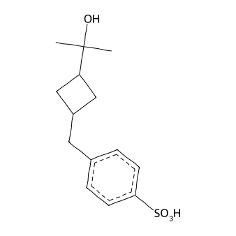 CC(C)(O)C1CC(Cc2ccc(S(=O)(=O)O)cc2)C1